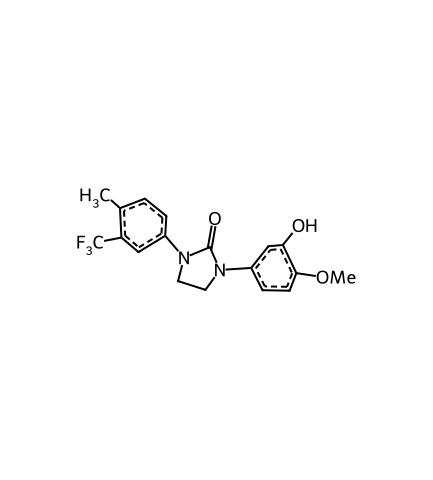 COc1ccc(N2CCN(c3ccc(C)c(C(F)(F)F)c3)C2=O)cc1O